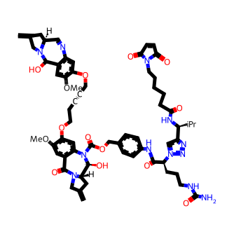 C=C1C[C@H]2[C@H](O)N(C(=O)OCc3ccc(NC(=O)[C@H](CCCNC(N)=O)n4cc([C@@H](NC(=O)CCCCCN5C(=O)C=CC5=O)C(C)C)nn4)cc3)c3cc(OCCCCCOc4cc5c(cc4OC)C(O)N4CC(=C)C[C@H]4C=N5)c(OC)cc3C(=O)N2C1